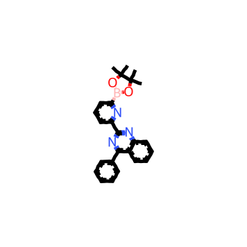 CC1(C)OB(c2cccc(-c3nc(-c4ccccc4)c4ccccc4n3)n2)OC1(C)C